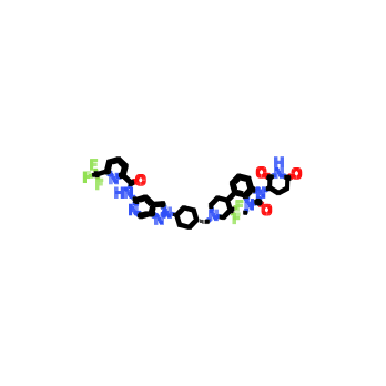 Cn1c(=O)n(C2CCC(=O)NC2=O)c2cccc(C3CCN(C[C@H]4CC[C@H](n5cc6cc(NC(=O)c7cccc(C(F)(F)F)n7)ncc6n5)CC4)CC3(F)F)c21